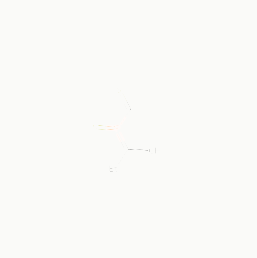 CCC(C)=P(=S)C=S